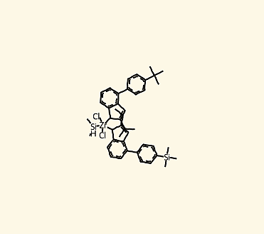 CCC1=Cc2c(-c3ccc([Si](C)(C)C)cc3)cccc2[CH]1[Zr]([Cl])([Cl])([CH]1C(C(C)C)=Cc2c(-c3ccc(C(C)(C)C)cc3)cccc21)[SiH](C)C